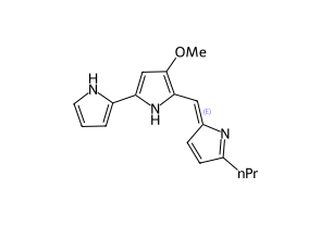 CCCC1=N/C(=C/c2[nH]c(-c3ccc[nH]3)cc2OC)C=C1